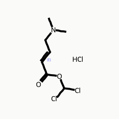 CN(C)C/C=C/C(=O)OC(Cl)Cl.Cl